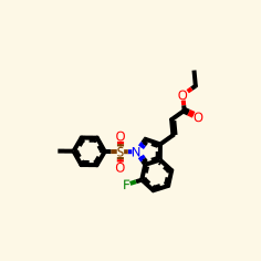 CCOC(=O)/C=C/c1cn(S(=O)(=O)c2ccc(C)cc2)c2c(F)cccc12